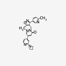 Cc1ccc(-c2noc(C)c2Cn2ncc(-c3ccnc(N4CCC4)c3)cc2=O)cn1